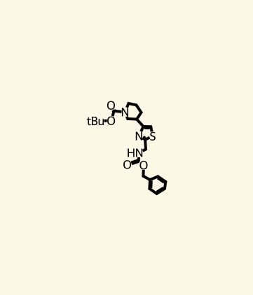 CC(C)(C)OC(=O)N1CCCC(c2csc(CNC(=O)OCc3ccccc3)n2)C1